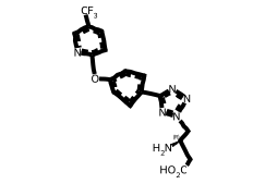 N[C@H](CC(=O)O)Cn1nnc(-c2ccc(Oc3ccc(C(F)(F)F)cn3)cc2)n1